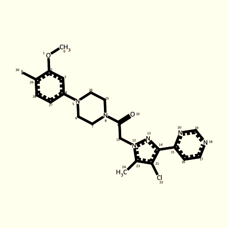 COc1cc(N2CCN(C(=O)Cn3nc(-c4ccncn4)c(Cl)c3C)CC2)ccc1I